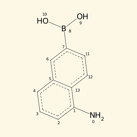 Nc1cccc2cc(B(O)O)ccc12